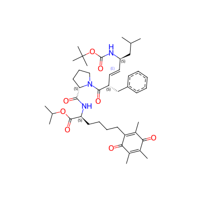 CC1=C(C)C(=O)C(CCCC[C@H](NC(=O)[C@@H]2CCCN2C(=O)[C@H](/C=C/[C@H](CC(C)C)NC(=O)OC(C)(C)C)Cc2ccccc2)C(=O)OC(C)C)=C(C)C1=O